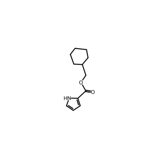 O=C(OCC1CCCCC1)c1ccc[nH]1